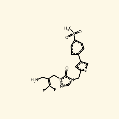 CS(=O)(=O)c1ccc(-c2csc(Cn3cnn(CC(CN)=C(F)F)c3=O)c2)cc1